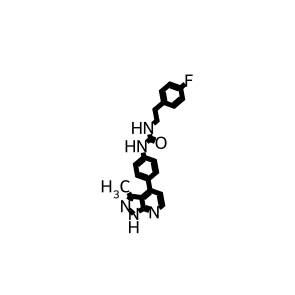 Cc1n[nH]c2nccc(-c3ccc(NC(=O)NCCc4ccc(F)cc4)cc3)c12